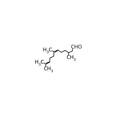 CC(C)=CCCC(C)=CCCC(C)CC=O